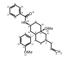 C=CCN1CC[C@@]2(c3cccc(OC)c3)C[C@@H](NC(=O)c3ccccc3)CC[C@]2(OC)C1